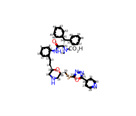 CN(C(=O)O)[C@H](C(=O)Nc1ccccc1CC[C@@H]1CNC[C@@H](CSc2nnc(-c3ccncc3)o2)O1)C(c1ccccc1)c1ccccc1